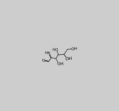 N=C(C=O)C(O)C(O)C(O)CO